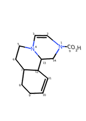 O=C(O)N1C=CN2CCC3CCC=CC3C2C1